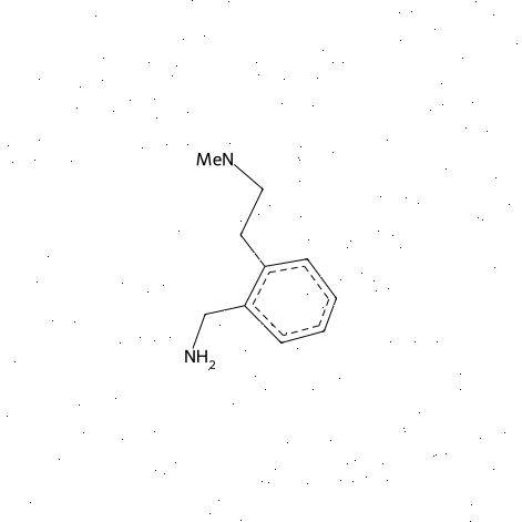 CNCCc1ccccc1CN